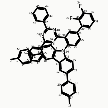 Cc1ccc(-c2ccc3c(c2)c2cc(-c4ccc(C)cc4)ccc2n3-c2ccc(-c3cccc(F)c3F)cc2-c2nc(-c3ccccc3)nc(-c3ccccc3)n2)cc1